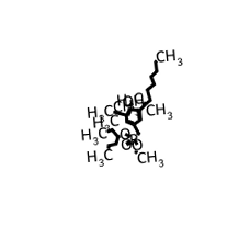 CCCCCCCC(C)(C)c1cc(CP(=O)(OCC)OC(CC)CCC)cc(C(C)(C)C)c1O